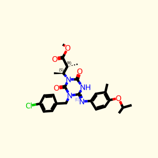 COC(=O)[C@H](C)[C@H](C)n1c(=O)[nH]/c(=N\c2ccc(OC(C)C)c(C)c2)n(Cc2ccc(Cl)cc2)c1=O